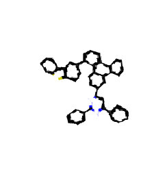 c1ccc(-c2cc(-c3ccc4c(c3)c3ccccc3c3cccc(-c5ccc6sc7ccccc7c6c5)c34)nc(-c3ccccc3)n2)cc1